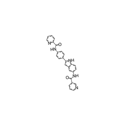 O=C(Nc1ccc2[nH]c(-c3ccc(NC(=O)c4ccccn4)cc3)cc2c1)c1cccnc1